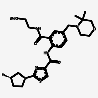 COCCNC(=O)c1cc(CN2CCOCC2(C)C)ccc1NC(=O)c1csc(N2CC[C@H](F)C2)n1